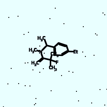 C=C(N(C)C(C)c1ccc(CC)cc1)C(C)(C)F